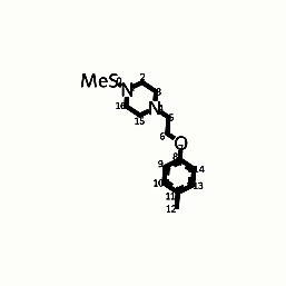 CSN1CCN(CCOc2ccc(C)cc2)CC1